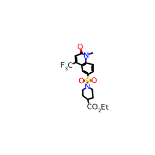 CCOC(=O)C1CCN(S(=O)(=O)c2ccc3c(c2)c(C(F)(F)F)cc(=O)n3C)CC1